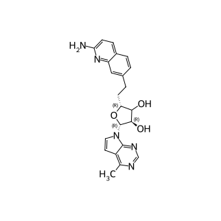 Cc1ncnc2c1ccn2[C@@H]1O[C@H](CCc2ccc3ccc(N)nc3c2)C(O)[C@H]1O